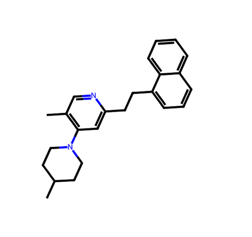 Cc1cnc(CCc2cccc3ccccc23)cc1N1CCC(C)CC1